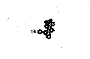 Cc1cc2c3c(c1)N1c4c(cc(-c5ccc(C(C)(C)C)cc5)cc4C4(C)CCCCC14C)B3c1cccc3c1N2c1ccccc1[Si]31c2ccccc2-c2ccccc21